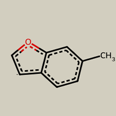 Cc1ccc2[c]coc2c1